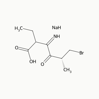 CCC(C(=N)C(=O)[C@@H](C)CBr)C(=O)O.[NaH]